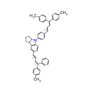 Cc1ccc(C(=C/C=C/c2ccc(N3c4ccc(/C=C/C=C(\c5ccccc5)c5ccc(C)cc5)cc4C4CCCC43)cc2)c2ccc(C)cc2)cc1